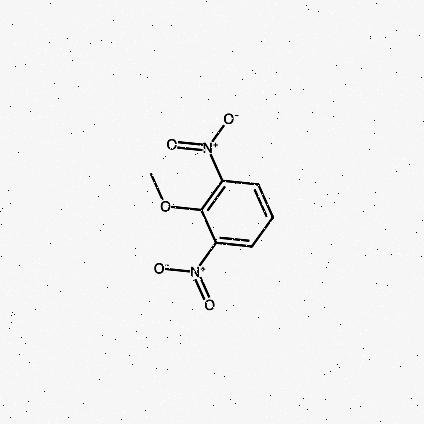 COc1c([N+](=O)[O-])cccc1[N+](=O)[O-]